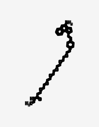 CCNC(=O)CCOCCOCCOCCOCCOCCOCCN1CCN(CCC2=c3c(c(N)cc4ccccc34)=CC2)CC1